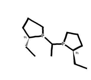 CC[C@@H]1CCCP1C(C)P1CCC[C@H]1CC